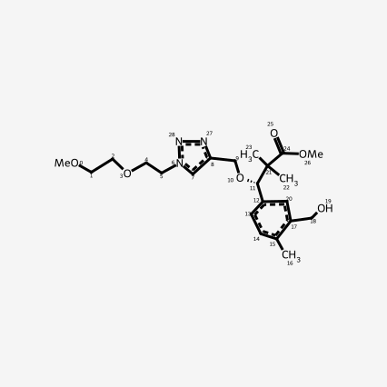 COCCOCCn1cc(CO[C@@H](c2ccc(C)c(CO)c2)C(C)(C)C(=O)OC)nn1